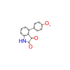 COc1ccc(-c2cccc3c2C(=O)C(=O)N3)cc1